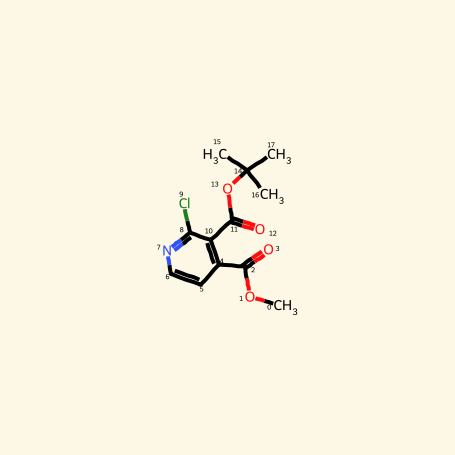 COC(=O)c1ccnc(Cl)c1C(=O)OC(C)(C)C